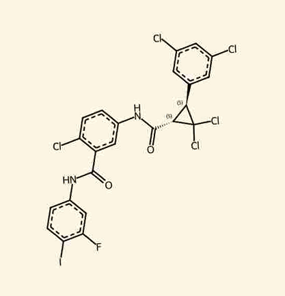 O=C(Nc1ccc(I)c(F)c1)c1cc(NC(=O)[C@@H]2[C@@H](c3cc(Cl)cc(Cl)c3)C2(Cl)Cl)ccc1Cl